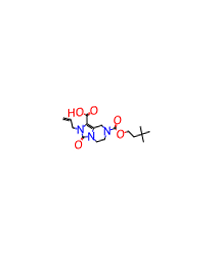 C=CCn1c(C(=O)O)c2n(c1=O)CCN(C(=O)OCCC(C)(C)C)C2